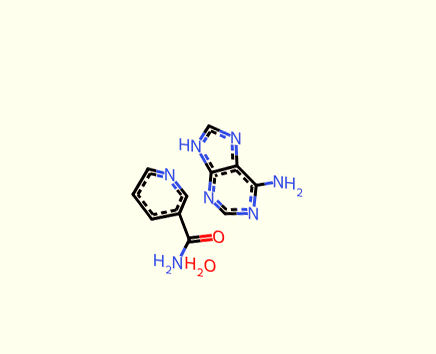 NC(=O)c1cccnc1.Nc1ncnc2[nH]cnc12.O